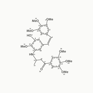 COc1cc(/C=C\c2cc(O)c(OC)c(NC(C)CC(=O)c3cc(OC)c(OC)c(OC)c3)c2)cc(OC)c1OC